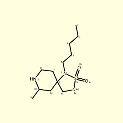 CCCCCN1C2(CCNC(C)C2)CNS1(=O)=O